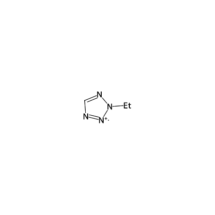 CCN1N=CN=[N+]1